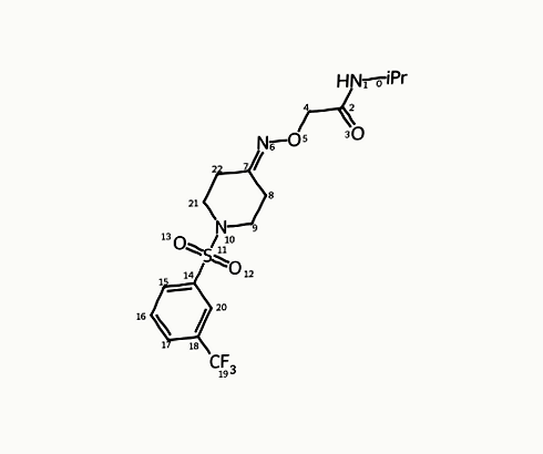 CC(C)NC(=O)CON=C1CCN(S(=O)(=O)c2cccc(C(F)(F)F)c2)CC1